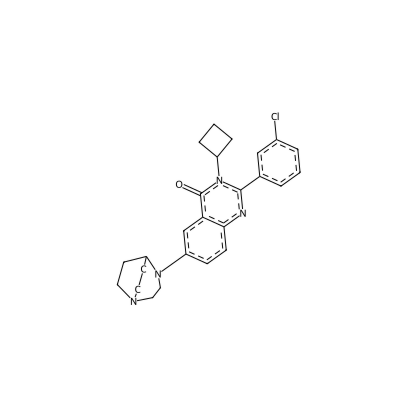 O=c1c2cc(N3CCN4CCC3CC4)ccc2nc(-c2cccc(Cl)c2)n1C1CCC1